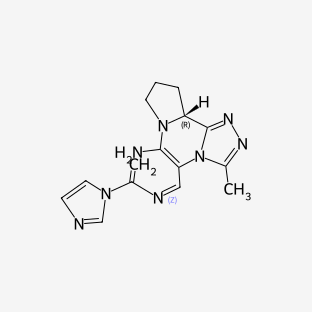 C=C(/N=C\C1=C(N)N2CCC[C@@H]2c2nnc(C)n21)n1ccnc1